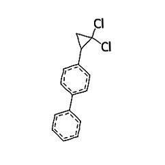 ClC1(Cl)CC1c1ccc(-c2ccccc2)cc1